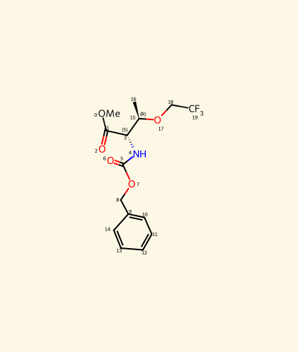 COC(=O)[C@@H](NC(=O)OCc1ccccc1)[C@@H](C)OCC(F)(F)F